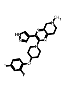 CN1CCc2nc(N3CCC(Oc4ccc(F)cc4F)CC3)c(-c3cn[nH]c3)nc2C1